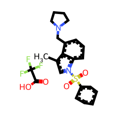 Cc1cn(S(=O)(=O)c2ccccc2)c2cccc(CN3CCCC3)c12.O=C(O)C(F)(F)F